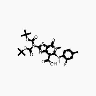 Cc1ccc(Nc2c(C(=O)O)c3nc(N(C(=O)OC(C)(C)C)C(=O)OC(C)(C)C)sc3c(=O)n2C)c(F)c1